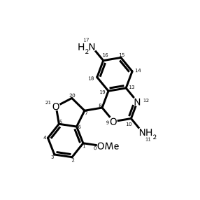 COc1cccc2c1C(C1OC(N)=Nc3ccc(N)cc31)CO2